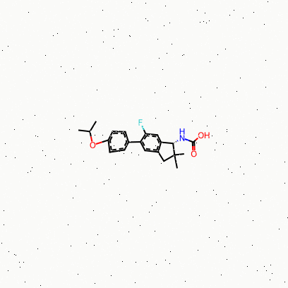 CC(C)Oc1ccc(-c2cc3c(cc2F)[C@H](NC(=O)O)C(C)(C)C3)cc1